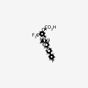 O=C(O)COc1cc(CNC(=O)[C@@]2(C3CC3)CC[C@@H](N3CCC(c4ccc(F)cc4)CC3)CO2)cc(C(F)(F)F)c1